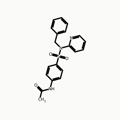 CC(=O)Nc1ccc(S(=O)(=O)N(Cc2ccccc2)c2ccccn2)cc1